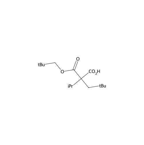 CC(C)C(CC(C)(C)C)(C(=O)O)C(=O)OCC(C)(C)C